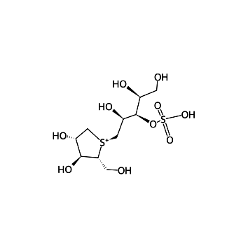 O=S(=O)(O)O[C@@H]([C@H](O)C[S@+]1C[C@@H](O)[C@H](O)[C@H]1CO)[C@@H](O)CO